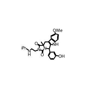 COc1ccc2[nH]c3c(c2c1)CC1(C)C(=O)N(CCNC(C)C)C(=O)N1C3c1cccc(O)c1